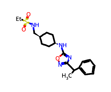 CCS(=O)(=O)NC[C@H]1CC[C@H](Nc2nc(C(C)c3ccccc3)no2)CC1